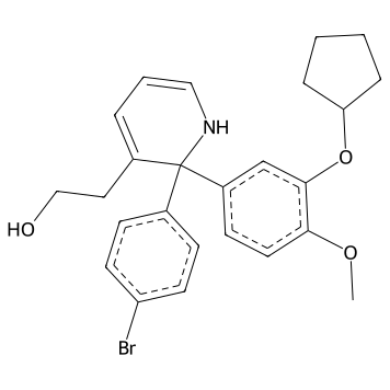 COc1ccc(C2(c3ccc(Br)cc3)NC=CC=C2CCO)cc1OC1CCCC1